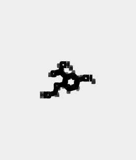 CC(=O)c1cc(C)ccc1OCO